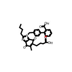 CCCCc1nc2c(n1Cc1ccc(-c3ccccc3C(=O)O)cc1)C(=O)C(CCCC(=O)O)=C(C)C2=O